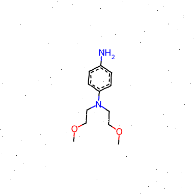 COCCN(CCOC)c1ccc(N)cc1